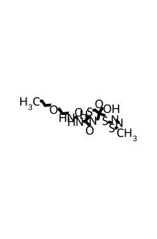 CCCCOCCCNC(=O)NC1C(=O)N2CC(CSc3nnc(C)s3)(C(=O)O)CS[C@H]12